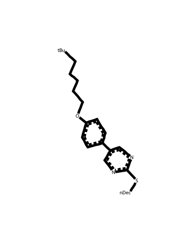 CCCCCCCCCCSc1ncc(-c2ccc(OCCCCCC(C)(C)C)cc2)cn1